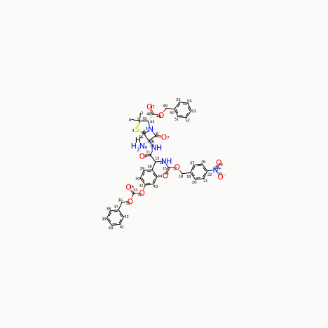 CC1(C)S[C@H]2N(C(=O)[C@@]2(N)NC(=O)C(NC(=O)OCc2ccc([N+](=O)[O-])cc2)c2ccc(OC(=O)OCc3ccccc3)cc2)[C@H]1C(=O)OCc1ccccc1